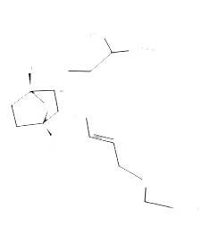 CCCCCCC(O)CC[C@@H]1[C@H](C/C=C/CSCC(=O)O)[C@@H]2CC[C@H]1O2